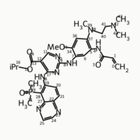 C=CC(=O)Nc1cc(Nc2ncc(C(=O)OC(C)C)c(Nc3ccc4nccnc4c3P(C)(C)=O)n2)c(OC)cc1N(C)CCN(C)C